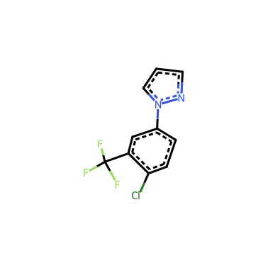 FC(F)(F)c1cc(-n2cccn2)ccc1Cl